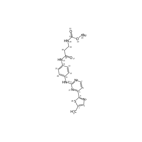 Cc1cnc(-c2ccnc(Nc3ccc(NC(=O)CCNC(=O)OC(C)(C)C)cc3)n2)s1